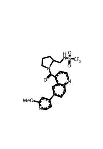 COc1cc(-c2ccc3nccc(C(=O)N4CCCC4CNS(=O)(=O)C(F)(F)F)c3c2)ccn1